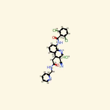 Cl.N#Cc1cnc2c(NC(=O)c3c(Cl)cccc3Cl)cccc2c1CC(=O)NCc1ccccn1